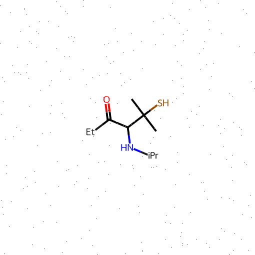 CCC(=O)C(NC(C)C)C(C)(C)S